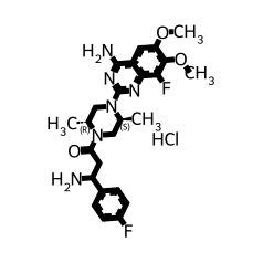 COc1cc2c(N)nc(N3C[C@@H](C)N(C(=O)CC(N)c4ccc(F)cc4)C[C@@H]3C)nc2c(F)c1OC.Cl